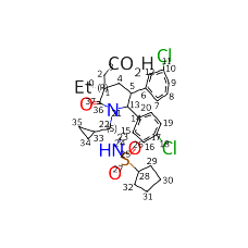 CC[C@]1(CC(=O)O)CC(c2cccc(Cl)c2)C(c2ccc(Cl)cc2)N([C@H](CNS(=O)(=O)C2CCCC2)C2CC2)C1=O